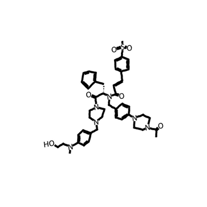 CC(=O)N1CCN(c2ccc(CN(C(=O)/C=C/c3ccc(S(C)(=O)=O)cc3)[C@@H](Cc3ccccc3)C(=O)N3CCN(Cc4ccc(N(C)CCO)cc4)CC3)cc2)CC1